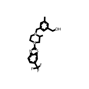 Cc1cc(CO)cc(CN2CCN(c3nc4ccc(C(F)(F)F)cc4s3)CC2C)c1